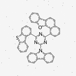 c1cc(-c2nc(-c3cccc4sc5ccccc5c34)nc(-n3c4ccccc4c4ccccc43)n2)c2c(c1)ccc1c3ccccc3oc12